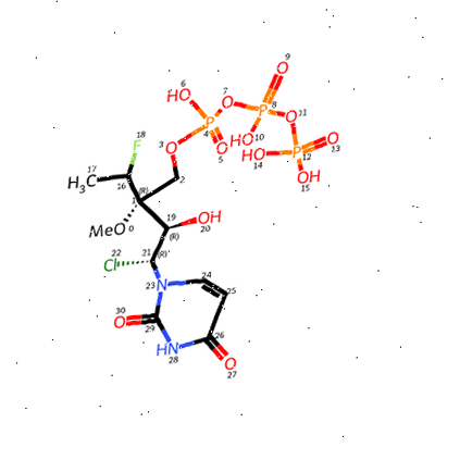 CO[C@@](COP(=O)(O)OP(=O)(O)OP(=O)(O)O)(C(C)F)[C@@H](O)[C@@H](Cl)n1ccc(=O)[nH]c1=O